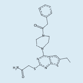 CCc1cc2c(N3CCN(C(=O)Cc4ccccc4)CC3)nc(SCC(N)=O)nc2s1